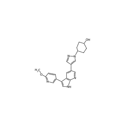 COc1ccc(-c2c[nH]c3ncc(-c4cnn(C5CCC(O)CC5)c4)cc23)cn1